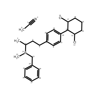 CC#N.CC(CCc1ccc(C2C(Cl)CCCC2Cl)cc1)N(C)Cc1ccccc1